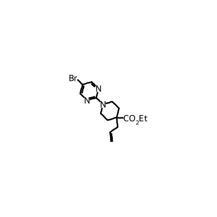 C=CCC1(C(=O)OCC)CCN(c2ncc(Br)cn2)CC1